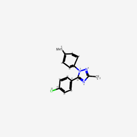 CSc1ccc(-n2nc(C(F)(F)F)nc2-c2ccc(Cl)cc2)cc1